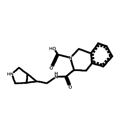 O=C(NCC1C2CNCC21)C1Cc2ccccc2CN1C(=O)O